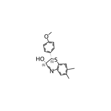 COc1ccc([C@@H]2Sc3cc(C)c(C)cc3N=C[C@@H]2O)cc1